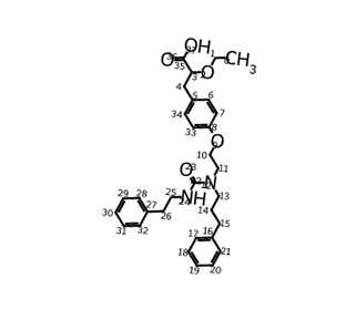 CCOC(Cc1ccc(OCCN(CCCc2ccccc2)C(=O)NCCc2ccccc2)cc1)C(=O)O